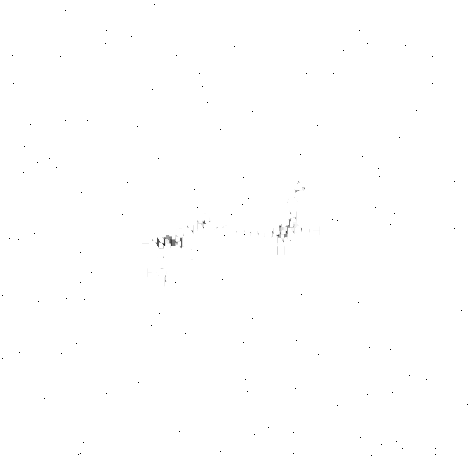 Cc1ncsc1-c1ccc(CNC(=O)[C@@H]2CC(O)CN2C(=O)[C@@H](NC(=O)COCCOCCOCCOCCOCC(=O)N2CCN(c3ccc(C(=O)Nc4n[nH]c5ccc(Cc6cc(F)cc(F)c6)cc45)c(NC4CCOCC4)c3)CC2)C(C)(C)C)cc1